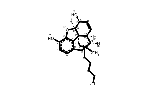 C[N+]1(CCCCCl)CC[C@]23c4c5ccc(O)c4O[C@H]2[C@@H](O)C=C[C@H]3[C@H]1C5